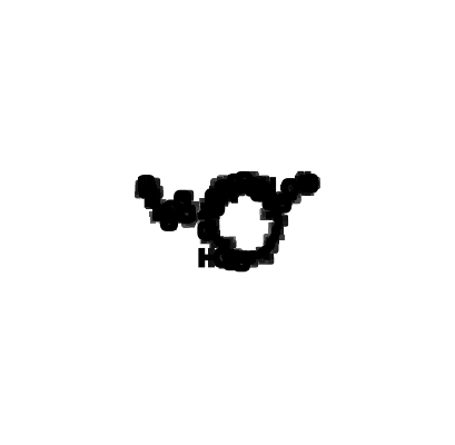 CO[C@@H]1C[C@H](C[C@@H](C)[C@@H]2CC(=O)[C@H](C)/C=C(\C)[C@@H](O)[C@@H](OC)C(=O)[C@H](C)C[C@H](C)/C=C/C=C/C=C(\C)[C@H](OCCOC3COC3)C[C@@H]3CC[C@@H](C)[C@@](O)(O3)C(=O)C(=O)N3CCCC[C@H]3C(=O)O2)CC[C@H]1OC(=O)N(C)CCN1CCOCC1